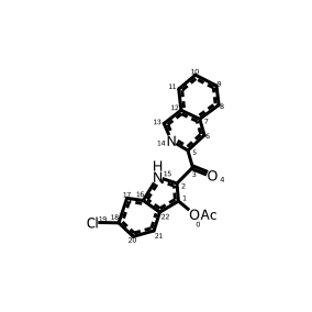 CC(=O)Oc1c(C(=O)c2cc3ccccc3cn2)[nH]c2cc(Cl)ccc12